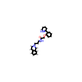 O=C(COc1ccccc1C1CCCCN1)NCCCN1CCc2ccccc2C1